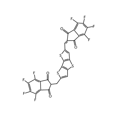 O=C1C(=Cc2cc3sc4cc(CC5C(=O)c6c(F)c(F)c(F)c(F)c6C5=O)sc4c3s2)C(=O)c2c(F)c(F)c(F)c(F)c21